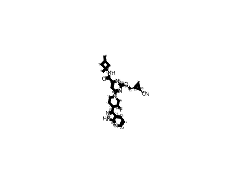 CC1CC(C)(NC(=O)c2cc(N3CCC(c4n[nH]c5ncccc45)C(F)C3)nc(OC[C@H]3C[C@H]3C#N)n2)C1